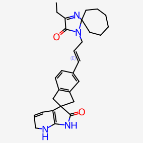 CCC1=NC2(CCCCCC2)N(C/C=C/c2ccc3c(c2)CC2(C3)C(=O)NC3=C2C=CCN3)C1=O